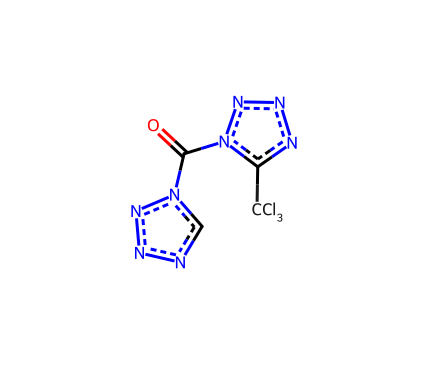 O=C(n1cnnn1)n1nnnc1C(Cl)(Cl)Cl